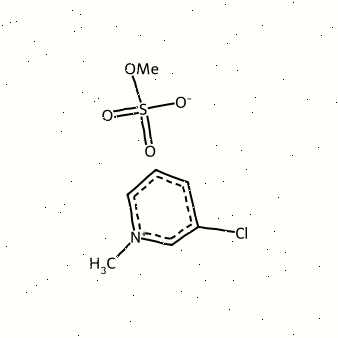 COS(=O)(=O)[O-].C[n+]1cccc(Cl)c1